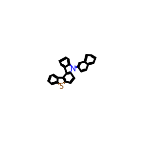 c1ccc2cc(-n3c4ccccc4c4c5c(ccc43)sc3ccccc35)ccc2c1